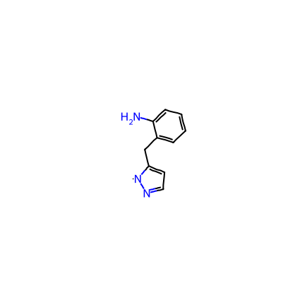 Nc1ccccc1CC1=CC=N[N]1